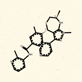 Cc1cc(C(=O)Nc2cccnc2C)ccc1[C@@H]1SC[C@@H](C)Nc2c1c(-c1ccncn1)nn2C